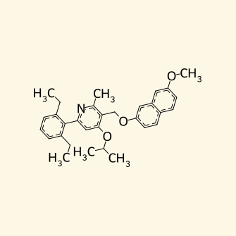 CCc1cccc(CC)c1-c1cc(OC(C)C)c(COc2ccc3ccc(OC)cc3c2)c(C)n1